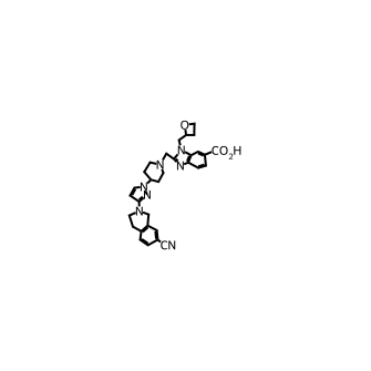 N#Cc1ccc2c(c1)CN(c1ccn(C3CCN(Cc4nc5ccc(C(=O)O)cc5n4CC4CCO4)CC3)n1)CC2